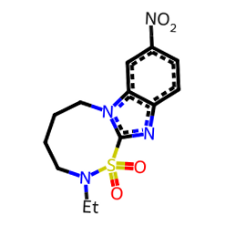 CCN1CCCCn2c(nc3ccc([N+](=O)[O-])cc32)S1(=O)=O